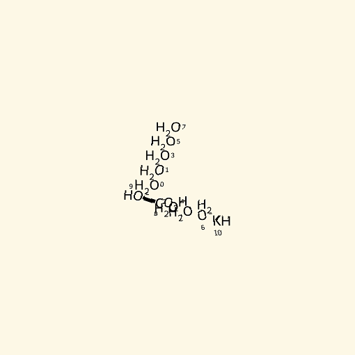 O.O.O.O.O.O.O.O.O=C(O)O.[KH]